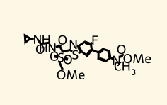 COCCS(=O)(=O)C(C(=O)NCC(=O)NC1CC1)c1nc2cc(F)c(-c3ccc(N(C)C(=O)OC)cc3)cc2s1